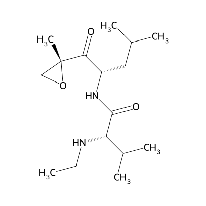 CCN[C@H](C(=O)N[C@@H](CC(C)C)C(=O)[C@@]1(C)CO1)C(C)C